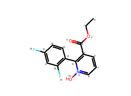 CCOC(=O)c1ccc[n+](O)c1-c1ccc(F)cc1F